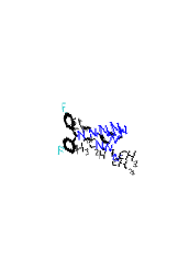 [2H]c1nc2c(N3C[C@@H](CC)N(C(c4ccc(F)cc4)c4ccc(F)cc4)C[C@@H]3C)nc3nncn3c2n1CCN(C)C